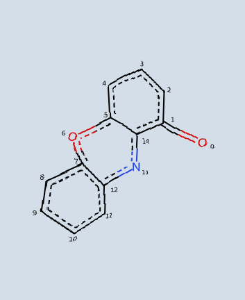 O=c1cccc2oc3ccccc3nc1-2